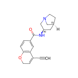 C#CC1=CCOc2ccc(C(=O)N[C@@H]3C[C@@H]4CCN(C4)C3)cc21